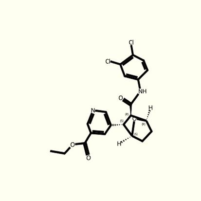 CCOC(=O)c1cncc([C@@H]2[C@@H](C(=O)Nc3ccc(Cl)c(Cl)c3)[C@H]3CC[C@@H]2O3)c1